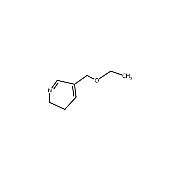 CCOCC1=CCCN=C1